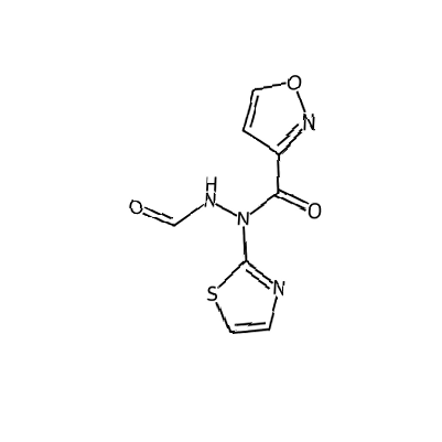 O=CNN(C(=O)c1ccon1)c1nccs1